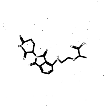 CC(OCCNc1cccc2c1C(=O)N(C1CCC(=O)NC1=O)C2=O)C(=O)O